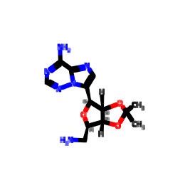 CC1(C)O[C@@H]2[C@H](O1)[C@@H](CN)O[C@H]2c1cnc2c(N)ncnn12